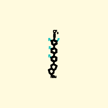 CCCCC1CCC2CC(c3ccc(-c4ccc(-c5cc(F)c(C#CC(F)(F)F)c(F)c5)c(F)c4)c(F)c3)CCC2C1